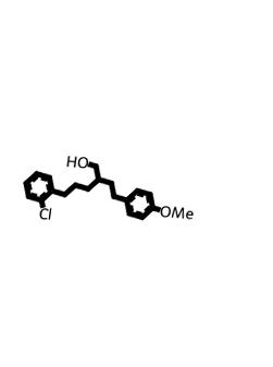 COc1ccc(CCC(CO)CCCc2ccccc2Cl)cc1